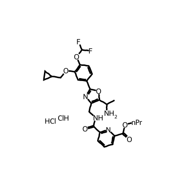 CCCOC(=O)c1cccc(C(=O)NCc2nc(-c3ccc(OC(F)F)c(OCC4CC4)c3)oc2C(C)N)n1.Cl.Cl